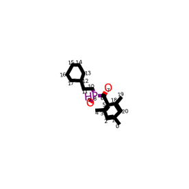 Cc1cc(C)c(C(=O)[PH](=O)CCC2CCCCC2)c(C)c1